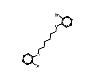 Brc1ccccc1OCCCCCCOc1ccccc1Br